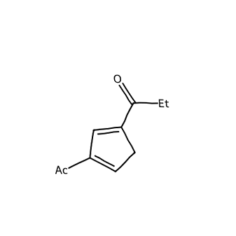 CCC(=O)C1=CC(C(C)=O)=CC1